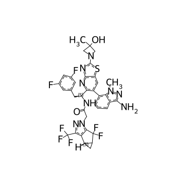 Cn1nc(N)c2cccc(-c3cc4sc(N5CC(C)(O)C5)nc4nc3[C@H](Cc3cc(F)cc(F)c3)NC(=O)Cn3nc(C(F)(F)F)c4c3C(F)(F)C3C[C@H]43)c21